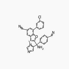 Cn1cncc1C(N)(c1ccc(C#N)cc1)c1cc2cc(C#N)cc(-c3cccc(Cl)c3)c2o1